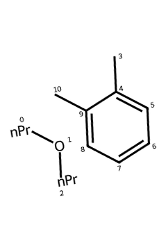 CCCOCCC.Cc1ccccc1C